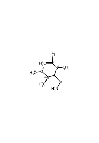 C=C(Cl)N(C)C(CN)[C@@H](C)OC